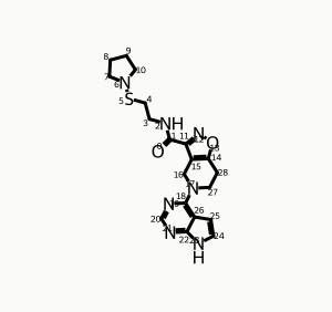 O=C(NCCSN1CCCC1)c1noc2c1CN(c1ncnc3[nH]ccc13)CC2